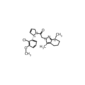 COc1cccc([C@@H]2C=CCN2C(=O)Cn2nc3c(c2C)CCC[C@@H]3C)c1Cl